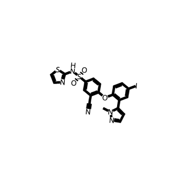 Cn1nccc1-c1cc(I)ccc1Oc1ccc(S(=O)(=O)Nc2nccs2)cc1C#N